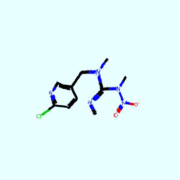 CN=C(N(C)Cc1ccc(Cl)nc1)N(C)[N+](=O)[O-]